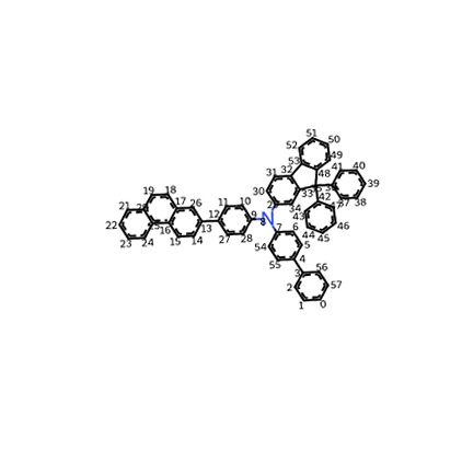 c1ccc(-c2ccc(N(c3ccc(-c4ccc5c(ccc6ccccc65)c4)cc3)c3ccc4c(c3)C(c3ccccc3)(c3ccccc3)c3ccccc3-4)cc2)cc1